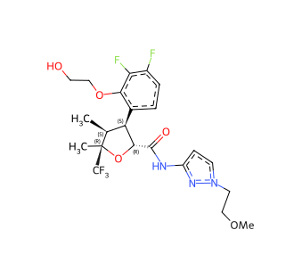 COCCn1ccc(NC(=O)[C@@H]2O[C@@](C)(C(F)(F)F)[C@@H](C)[C@H]2c2ccc(F)c(F)c2OCCO)n1